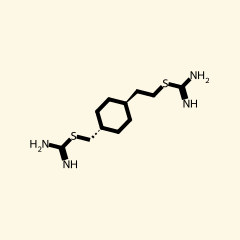 N=C(N)SCC[C@H]1CC[C@H](CSC(=N)N)CC1